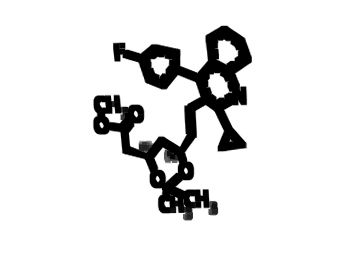 COC(=O)C[C@H]1C[C@@H](C=Cc2c(C3CC3)nc3ccccc3c2-c2ccc(F)cc2)OC(C)(C)O1